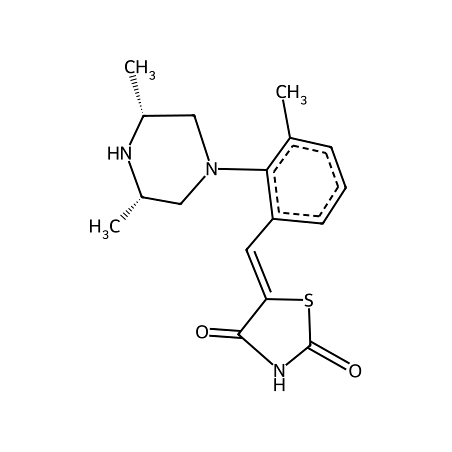 Cc1cccc(/C=C2\SC(=O)NC2=O)c1N1C[C@@H](C)N[C@@H](C)C1